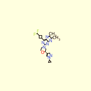 Cc1nc2nc(N3CCO[C@H](c4cnn(C5CC5)c4)C3)nc(C3CC(C(F)F)C3)c2nc1C